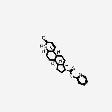 C[C@]12C=CC(=O)N[C@@H]1CC[C@@H]1[C@@H]2CC[C@]2(C)[C@@H](C(=S)Oc3ccccn3)CC[C@@H]12